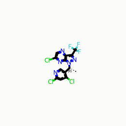 C[C@H](c1cnc(Cl)cc1Cl)n1nc(C(F)(F)F)c2ncc(Cl)nc21